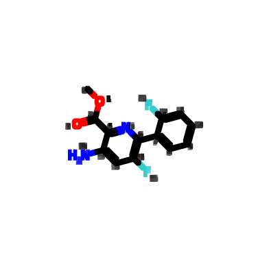 COC(=O)c1nc(-c2ccccc2F)c(F)cc1N